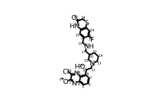 COc1nc2cccc([C@H](O)CN3CCCC(CNCc4cc5c(cc4F)SCC(=O)N5)C3)c2nc1Cl